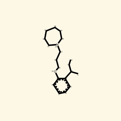 CCC(C)c1ccccc1OCCCN1CCCCCC1